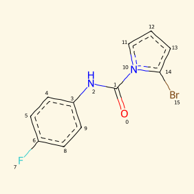 O=C(Nc1ccc(F)cc1)n1cccc1Br